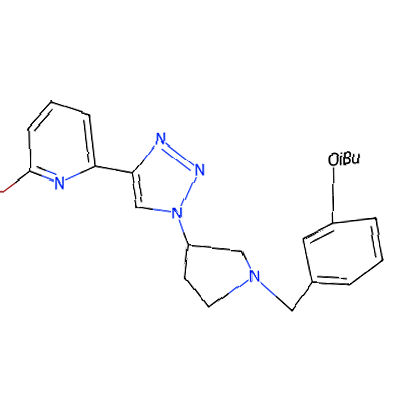 CC(C)COc1cccc(CN2CCC(n3cc(-c4cccc(Br)n4)nn3)C2)c1